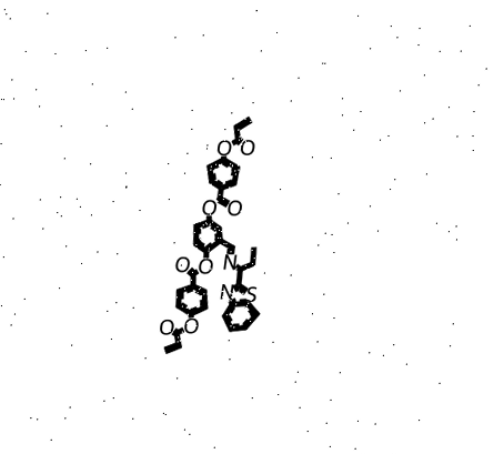 C=CC(=O)Oc1ccc(C(=O)Oc2ccc(OC(=O)c3ccc(OC(=O)C=C)cc3)c(/C=N/C(CC)c3nc4ccccc4s3)c2)cc1